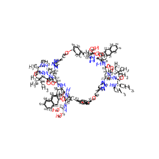 CN[C@@H](C)C(=O)N[C@H](C(=O)N1C[C@@H]2C[C@H]1C(=O)N[C@@H](Cc1ccc3ccccc3c1)C(=O)N[C@H](C(=O)O)Cc1ccc(cc1)OCc1cn(nn1)[C@H]1C[C@@H](C(=O)N[C@@H](Cc3ccc4ccccc4c3)C(=O)N[C@H](C(=O)NC(CO)CO)Cc3ccc(cc3)OCc3cn2nn3)N(C(=O)[C@@H](NC(=O)[C@H](C)NC)C(C)(C)C)C1)C(C)(C)C